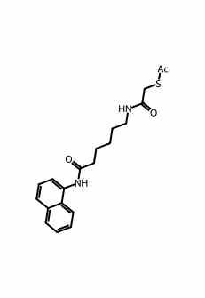 CC(=O)SCC(=O)NCCCCCC(=O)Nc1cccc2ccccc12